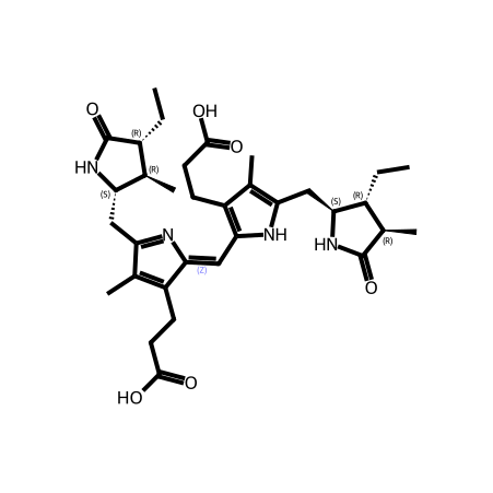 CC[C@H]1[C@H](Cc2[nH]c(/C=C3\N=C(C[C@@H]4NC(=O)[C@H](CC)[C@H]4C)C(C)=C3CCC(=O)O)c(CCC(=O)O)c2C)NC(=O)[C@@H]1C